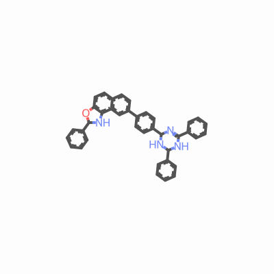 c1ccc(C2=NC(c3ccc(-c4ccc5ccc6c(c5c4)NC(c4ccccc4)O6)cc3)NC(c3ccccc3)N2)cc1